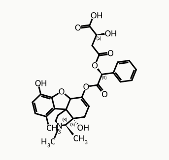 Cc1ccc(O)c2c1C13CCN(C)[C@H](C)[C@]1(O)CC=C(OC(=O)[C@@H](OC(=O)C[C@H](O)C(=O)O)c1ccccc1)C3O2